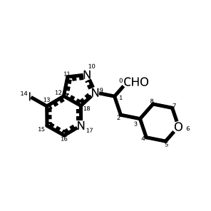 O=CC(CC1CCOCC1)n1ncc2c(I)ccnc21